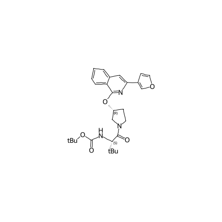 CC(C)(C)OC(=O)N[C@H](C(=O)N1CC[C@@H](Oc2nc(-c3ccoc3)cc3ccccc23)C1)C(C)(C)C